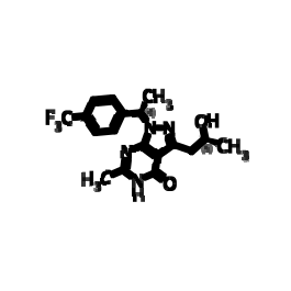 Cc1nc2c(c(C[C@H](C)O)nn2[C@H](C)c2ccc(C(F)(F)F)cc2)c(=O)[nH]1